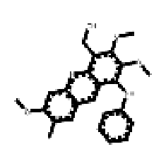 COc1cc2nc3c(CO)c(OC)c(OC)c(Nc4ccccc4)c3cc2cc1C